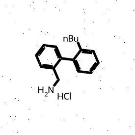 CCCCc1ccccc1-c1ccccc1CN.Cl